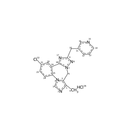 Cc1ncn2c1Cn1nc(Cc3cccnc3)nc1-c1cc(Cl)ccc1-2.Cl